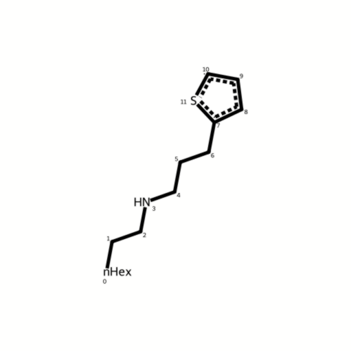 CCCCCCCCNCCCc1cc[c]s1